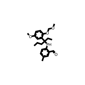 CCCC(CC)(Pc1ccc(C)cc1C=O)c1cc(OC)ccc1OCOC